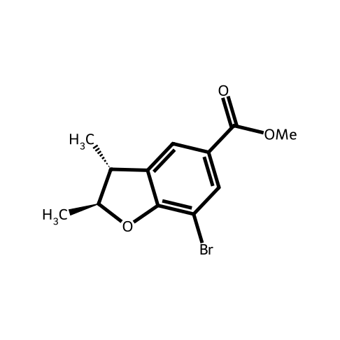 COC(=O)c1cc(Br)c2c(c1)[C@@H](C)[C@H](C)O2